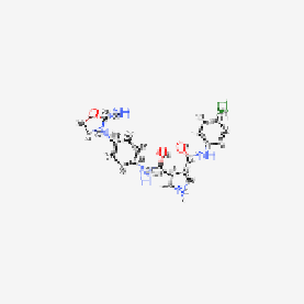 Cn1cc(C(=O)Nc2ccc(Cl)cc2)c(C(=O)Nc2ccc(N3CCOC3=N)cc2)c1